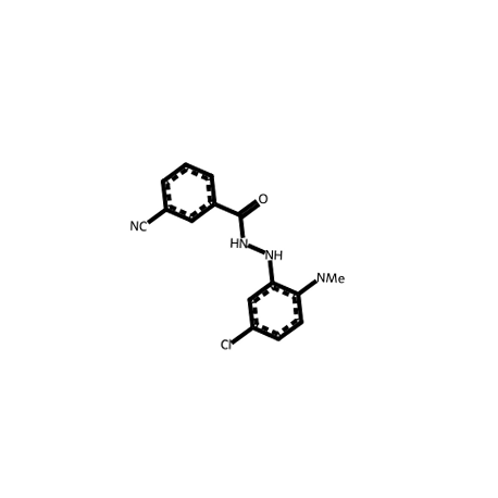 CNc1ccc(Cl)cc1NNC(=O)c1cccc(C#N)c1